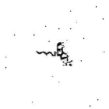 CCCCCCn1c2ccsc2c2s[c]([Sn]([CH3])([CH3])[CH3])cc21